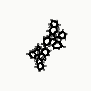 c1ccc(C2(c3ccccc3)c3cc(-c4ccc5c(c4)C4(c6ccccc6-c6ccccc64)c4ccc6ccccc6c4O5)ccc3-c3cc4ccccc4cc32)cc1